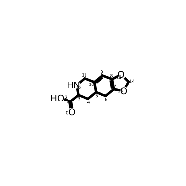 O=C(O)C1CC2CC3=C(C=C2CN1)OCO3